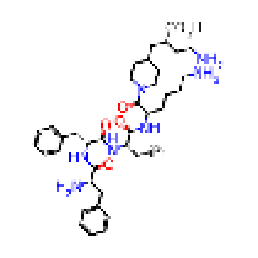 CC(C)C[C@@H](NC(=O)[C@@H](Cc1ccccc1)NC(=O)[C@H](N)Cc1ccccc1)C(=O)N[C@H](CCCCN)C(=O)N1CCC(CC(CCN)C(=O)O)CC1